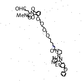 CCc1ncnc2c1c(-c1ccc(Oc3ccccc3)cc1)nn2C1CCCN(C(=O)/C=C/CCCCOCCOCCOCCOc2cccc3c2C(=O)N(C(CCC=O)C(=O)NC)C3=O)C1